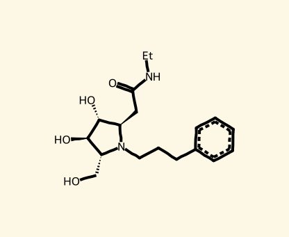 CCNC(=O)C[C@@H]1[C@@H](O)[C@H](O)[C@@H](CO)N1CCCc1ccccc1